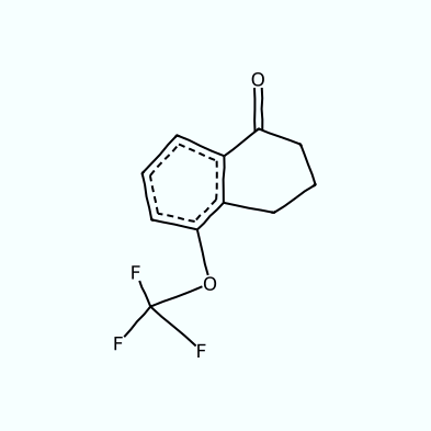 O=C1CCCc2c(OC(F)(F)F)cccc21